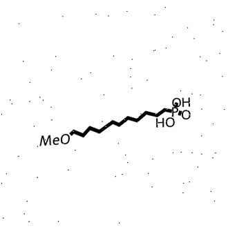 COCCCCCCCCCCCP(=O)(O)O